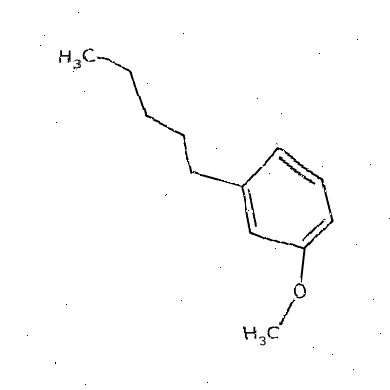 CCCCCc1[c]ccc(OC)c1